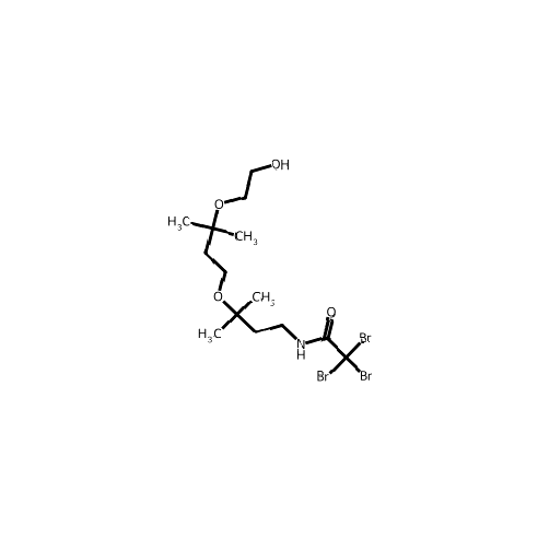 CC(C)(CCNC(=O)C(Br)(Br)Br)OCCC(C)(C)OCCO